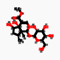 COC(=O)C1=CO[C@@H](O[C@@H]2O[C@H](CO)[C@@H](O)[C@H](O)[C@H]2O)[C@H]2[C@H](C)C[C@@H](O)[C@@]12O